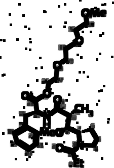 CCC(=O)N1CCC[C@H]1[C@H](OC)[C@@H](C)C(=O)N[C@@H](Cc1ccccc1)C(=O)OCCOCCOCCOC